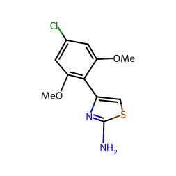 COc1cc(Cl)cc(OC)c1-c1csc(N)n1